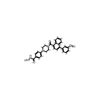 CCCNC(=O)c1ccc(N2CCN(C(=O)c3ccc(-c4cccc(OCC)c4)c4ccccc34)CC2)cc1